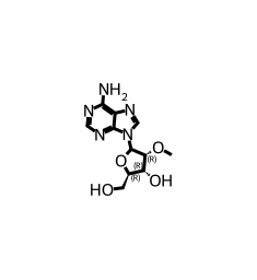 CO[C@H]1C(n2cnc3c(N)ncnc32)O[C@H](CO)[C@H]1O